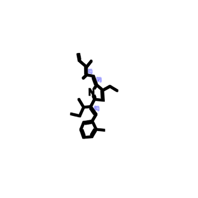 C=C/C(C)=C(C)/C=C1N=C(/C(=C/c2ccccc2C)C(C)CC)C=C\1CC